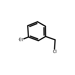 C[CH]c1cccc(CCl)c1